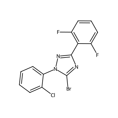 Fc1cccc(F)c1-c1nc(Br)n(-c2ccccc2Cl)n1